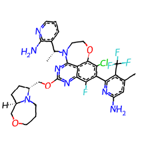 Cc1cc(N)nc(-c2c(Cl)c3c4c(nc(OC[C@H]5CC[C@@H]6COCCCN65)nc4c2F)N([C@H](C)c2cccnc2N)CCO3)c1C(F)(F)F